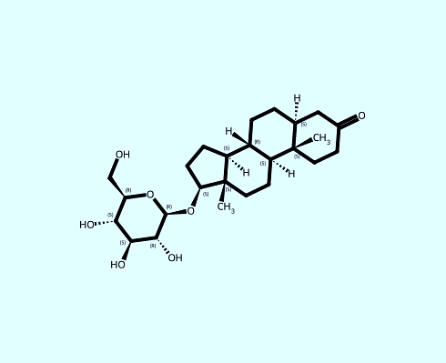 C[C@]12CCC(=O)C[C@@H]1CC[C@@H]1[C@@H]2CC[C@]2(C)[C@@H](O[C@@H]3O[C@H](CO)[C@@H](O)[C@H](O)[C@H]3O)CC[C@@H]12